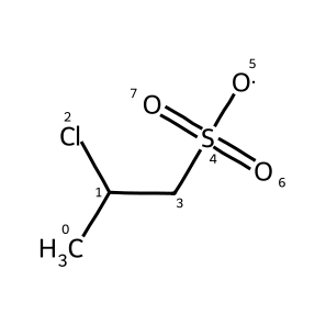 CC(Cl)CS([O])(=O)=O